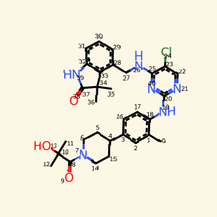 Cc1cc(C2CCN(C(=O)C(C)(C)O)CC2)ccc1Nc1ncc(Cl)c(NCc2cccc3c2C(C)(C)C(=O)N3)n1